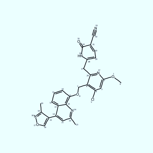 COc1cc(Cl)c(COc2cccc3c(-c4conc4C)cc(C)nc23)c(Cc2ccc(C#N)c(=O)[nH]2)n1